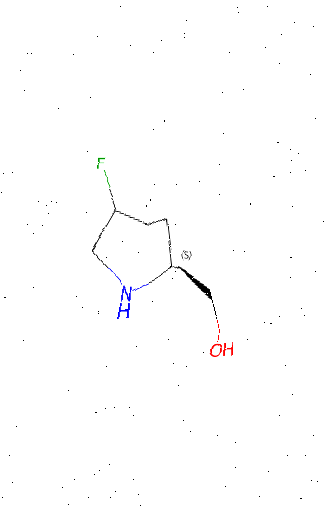 OC[C@@H]1CC(F)CN1